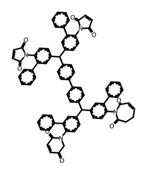 O=C1C=CC(=O)N(c2ccc(C(c3ccc(-c4ccc(C(c5ccc(N6C(=O)C=CC6=O)c(-c6ccccc6)c5)c5ccc(N6C(=O)C=CC6=O)c(-c6ccccc6)c5)cc4)cc3)c3ccc(N4C(=O)C=CCCC4=O)c(-c4ccccc4)c3)cc2-c2ccccc2)C1